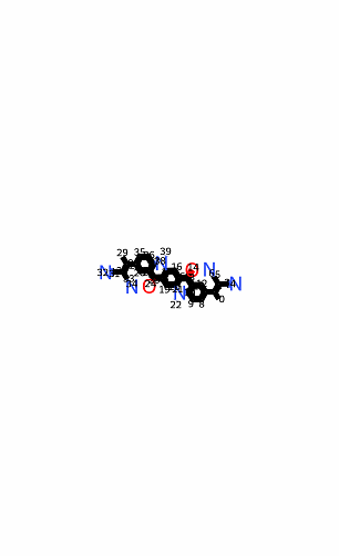 CC(=C(C#N)C#N)c1ccc2c(c1)c(=O)c1cc3c(cc1n2C)c(=O)c1cc(C(C)=C(C#N)C#N)ccc1n3C